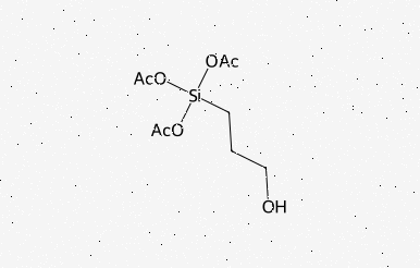 CC(=O)O[Si](CCCO)(OC(C)=O)OC(C)=O